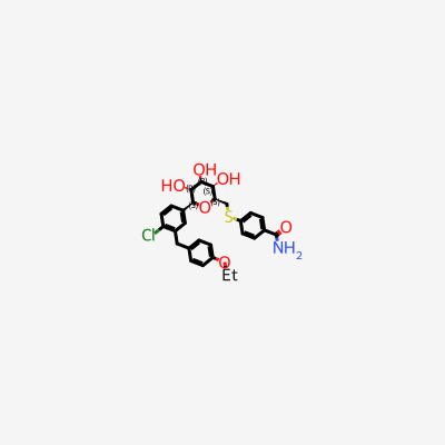 CCOc1ccc(Cc2cc([C@@H]3O[C@H](CSc4ccc(C(N)=O)cc4)[C@@H](O)[C@H](O)[C@H]3O)ccc2Cl)cc1